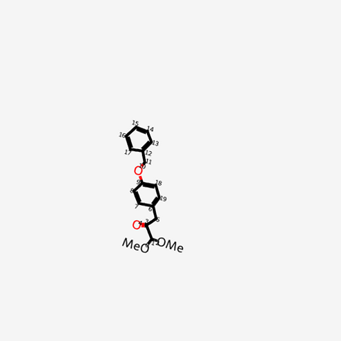 COC(OC)C(=O)Cc1ccc(OCc2ccccc2)cc1